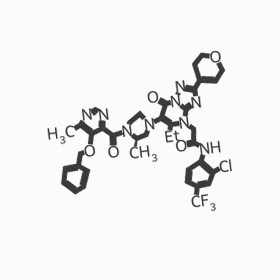 CCc1c(N2CCN(C(=O)c3ncnc(C)c3OCc3ccccc3)[C@H](C)C2)c(=O)n2nc(C3=CCOCC3)nc2n1CC(=O)Nc1ccc(C(F)(F)F)cc1Cl